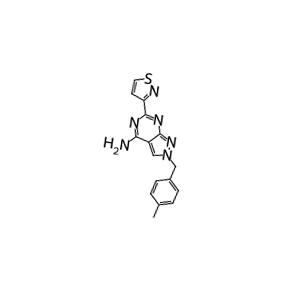 Cc1ccc(Cn2cc3c(N)nc(-c4ccsn4)nc3n2)cc1